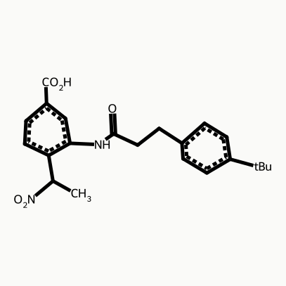 CC(c1ccc(C(=O)O)cc1NC(=O)CCc1ccc(C(C)(C)C)cc1)[N+](=O)[O-]